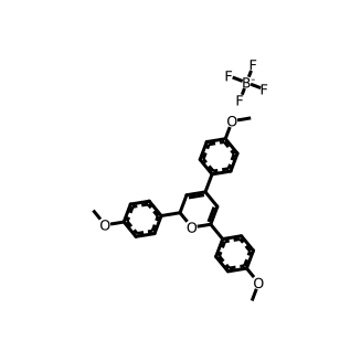 COc1ccc(C2=CC(c3ccc(OC)cc3)OC(c3ccc(OC)cc3)=C2)cc1.F[B-](F)(F)F